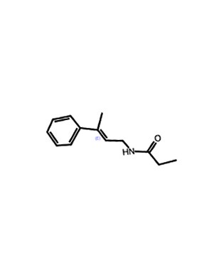 CCC(=O)NC/C=C(\C)c1ccccc1